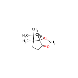 CC(C)(C)C1(C)CCC(=O)C1(C)O[SiH3]